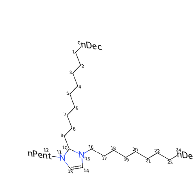 CCCCCCCCCCCCCCCCCCCC1N(CCCCC)C=CN1CCCCCCCCCCCCCCCCCC